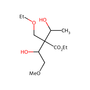 CCOCC(C(=O)OCC)(C(C)O)C(O)COC